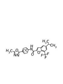 Cc1nnc(C23CCC(NC(=O)c4cc5cc(C(C)C)cc(C(F)(F)F)c5o4)(CC2)CC3)o1